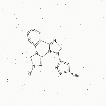 CC(C)(C)c1cn(N2CN=C3c4ccccc4N4CN(Cl)C=C4N32)nn1